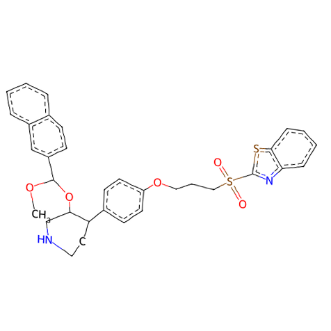 COC(OC1CNCCC1c1ccc(OCCCS(=O)(=O)c2nc3ccccc3s2)cc1)c1ccc2ccccc2c1